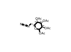 CC(=O)OC1O[C@H](CN=[N+]=[N-])[C@H](OC(C)=O)[C@H](OC(C)=O)[C@H]1OC(C)=O